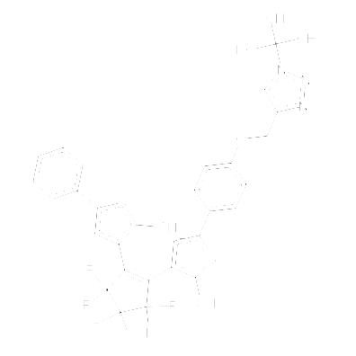 Cc1sc(-c2ccccc2)cc1C1=C(c2cc(-c3ccc(OCc4cn(C(C)(C)C)nn4)cc3)sc2C)C(F)(F)C(F)(F)C1(F)F